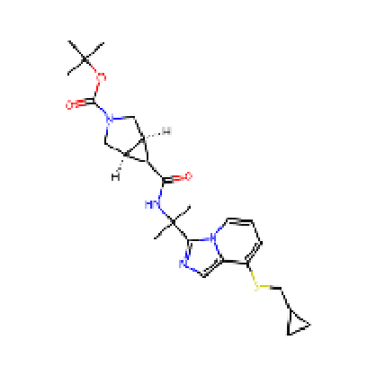 CC(C)(C)OC(=O)N1C[C@@H]2C(C(=O)NC(C)(C)c3ncc4c(SCC5CC5)cccn34)[C@@H]2C1